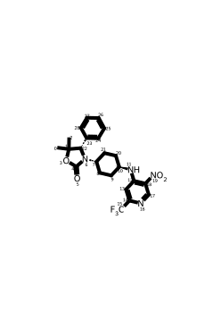 CC1(C)OC(=O)N([C@H]2CC[C@H](Nc3cc(C(F)(F)F)ncc3[N+](=O)[O-])CC2)[C@H]1c1ccccc1